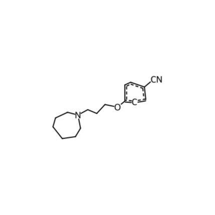 N#Cc1ccc(OCCCN2CCCCCC2)cc1